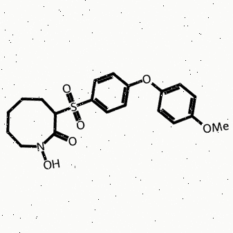 COc1ccc(Oc2ccc(S(=O)(=O)C3CCCCCN(O)C3=O)cc2)cc1